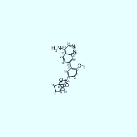 COc1ccc(B2OC3=C4CCC3(CC4)O2)cc1-c1ccc2c(N)cnnc2c1